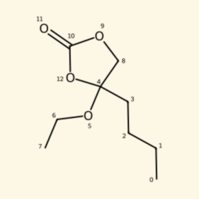 CCCCC1(OCC)COC(=O)O1